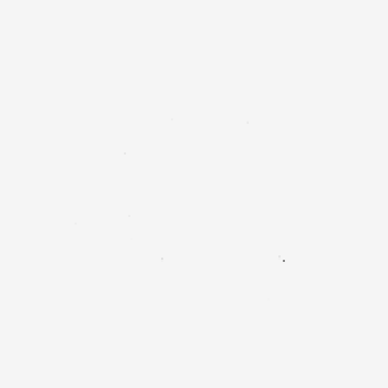 Cc1noc(C2(F)CCN(C(=O)Nc3ccccc3N3CCN(C(C)C)CC3)CC2)n1